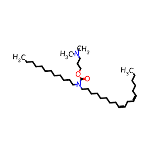 CCCCC/C=C\C/C=C\CCCCCCCCN(CCCCCCCCCCCC)C(=O)OCCCN(C)C